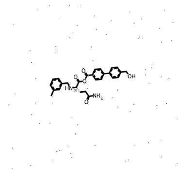 Cc1cccc(CN[C@@H](CCC(N)=O)C(=O)OC(=O)c2ccc(-c3ccc(CO)cc3)cc2)c1